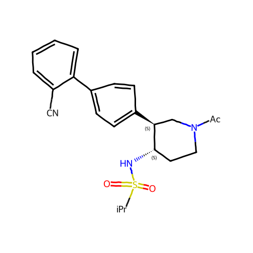 CC(=O)N1CC[C@H](NS(=O)(=O)C(C)C)[C@@H](c2ccc(-c3ccccc3C#N)cc2)C1